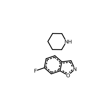 C1CCNCC1.Fc1ccc2cnoc2c1